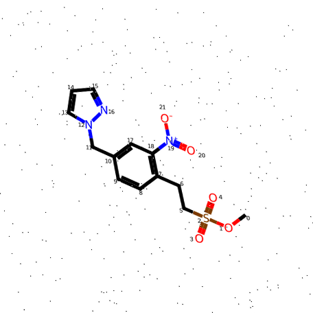 COS(=O)(=O)CCc1ccc(Cn2cccn2)cc1[N+](=O)[O-]